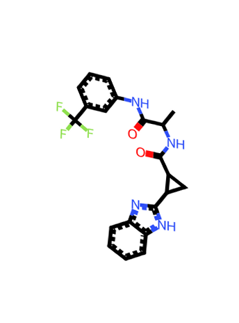 CC(NC(=O)C1CC1c1nc2ccccc2[nH]1)C(=O)Nc1cccc(C(F)(F)F)c1